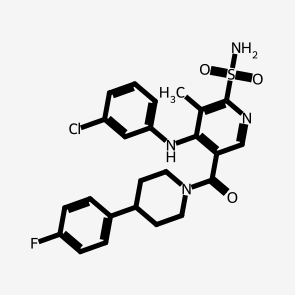 Cc1c(S(N)(=O)=O)ncc(C(=O)N2CCC(c3ccc(F)cc3)CC2)c1Nc1cccc(Cl)c1